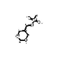 CS(=O)(=O)OCC1COCOC1